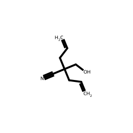 C=CCC(C#N)(CO)CC=C